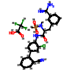 CN([C@@H](Cc1cccc(C(=N)N)c1)C(=O)Nc1ccc(-c2ccccc2C#N)cc1Cl)S(C)(=O)=O.O=C(O)C(F)(F)F